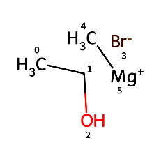 CCO.[Br-].[CH3][Mg+]